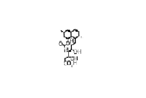 CC[C@H](C)C(=O)O[C@H]1C[C@@H](C)C=C2C=C[C@H](C)C(CC[C@@H](O)C[C@@H](O)CC(=O)O)[C@H]21